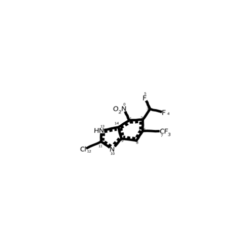 O=[N+]([O-])c1c(C(F)F)c(C(F)(F)F)cc2nc(Cl)[nH]c12